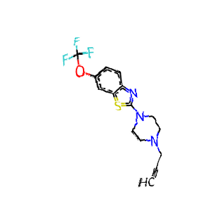 C#CCN1CCN(c2nc3ccc(OC(F)(F)F)cc3s2)CC1